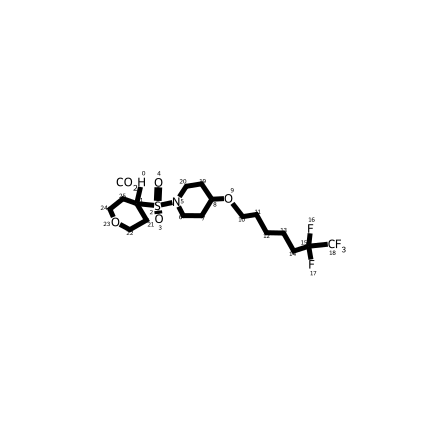 O=C(O)C1(S(=O)(=O)N2CCC(OCCCCCC(F)(F)C(F)(F)F)CC2)CCOCC1